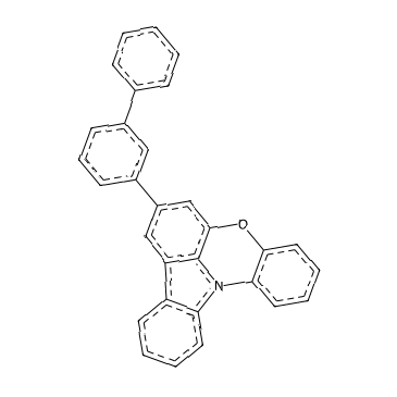 c1ccc(-c2cccc(-c3cc4c5c(c3)c3ccccc3n5-c3ccccc3O4)c2)cc1